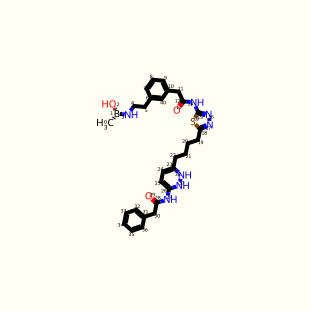 CB(O)NCCc1cccc(CC(=O)Nc2nnc(CCCCC3=CC=C(NC(=O)Cc4ccccc4)NN3)s2)c1